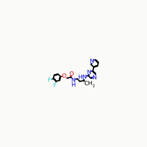 C=C(CCNC(=O)COc1ccc(F)c(F)c1)Nc1cncc(-c2cccnc2)n1